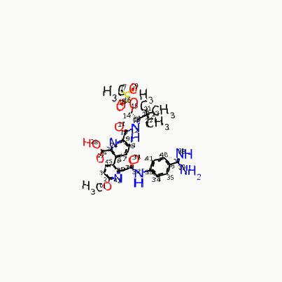 COc1ccc(-c2ccc(C(=O)N[C@H](COS(C)(=O)=O)C(C)(C)C)nc2C(=O)O)c(C(=O)Nc2ccc(C(=N)N)cc2)n1